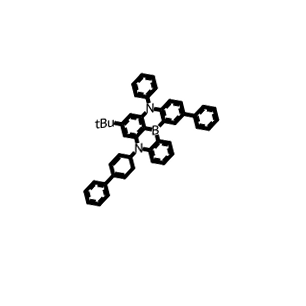 CC(C)(C)c1cc2c3c(c1)N(C1C=CC(c4ccccc4)=CC1)c1ccccc1B3c1cc(-c3ccccc3)ccc1N2c1ccccc1